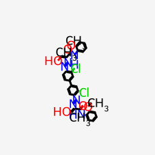 COc1ccccc1NC(=O)C(/N=N/c1ccc(-c2ccc(/N=N/C(C(=O)Nc3ccccc3OC)=C(/C)O)c(Cl)c2)cc1Cl)=C(\C)O